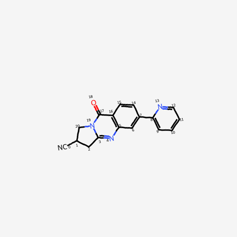 N#CC1Cc2nc3cc(-c4ccccn4)ccc3c(=O)n2C1